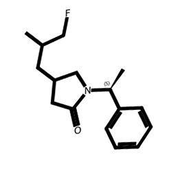 CC(CF)CC1CC(=O)N([C@@H](C)c2ccccc2)C1